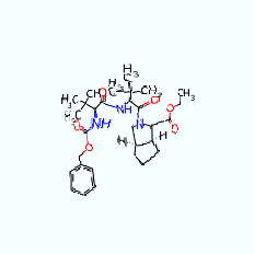 CCOC(=O)C1[C@H]2CCC[C@H]2CN1C(=O)[C@@H](NC(=O)[C@@H](NC(=O)OCc1ccccc1)C(C)(C)C)C(C)(C)C